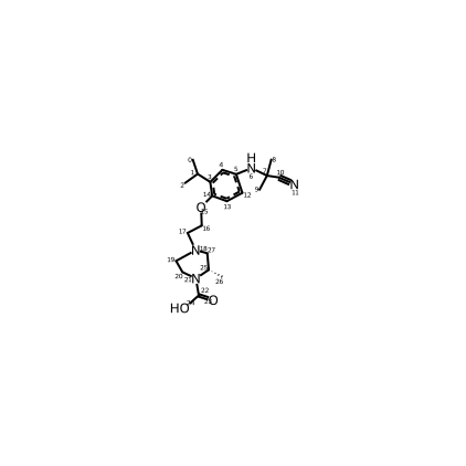 CC(C)c1cc(NC(C)(C)C#N)ccc1OCCN1CCN(C(=O)O)[C@@H](C)C1